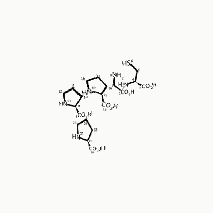 NCC(=O)O.N[C@@H](CS)C(=O)O.O=C(O)[C@@H]1CCCN1.O=C(O)[C@@H]1CCCN1.O=C(O)[C@@H]1CCCN1